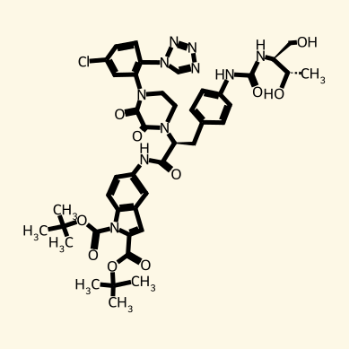 C[C@H](O)[C@H](CO)NC(=O)Nc1ccc(C[C@@H](C(=O)Nc2ccc3c(c2)cc(C(=O)OC(C)(C)C)n3C(=O)OC(C)(C)C)N2CCN(c3cc(Cl)ccc3-n3cnnn3)C(=O)C2=O)cc1